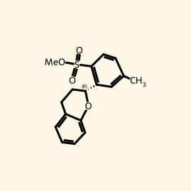 COS(=O)(=O)c1ccc(C)cc1[C@H]1CCc2ccccc2O1